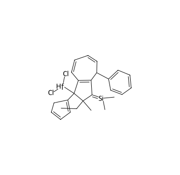 CCC1(C)C(=[Si](C)C)C2=C(C=CC=CC2c2ccccc2)[C]1(C1=CC=CC1)[Hf]([Cl])[Cl]